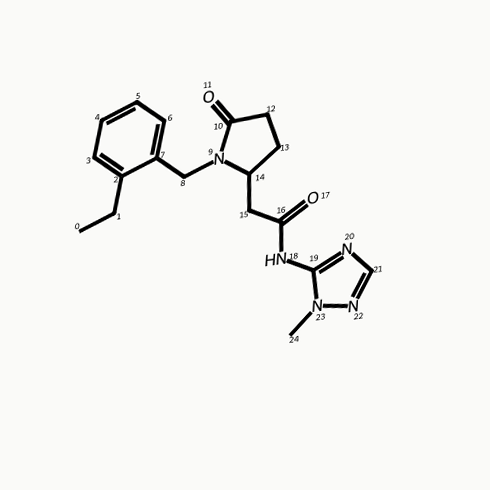 CCc1ccccc1CN1C(=O)CCC1CC(=O)Nc1ncnn1C